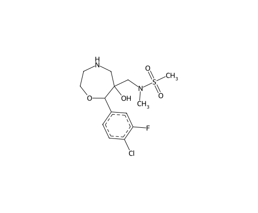 CN(CC1(O)CNCCOC1c1ccc(Cl)c(F)c1)S(C)(=O)=O